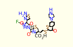 Nc1nc(C(=NOCF)C(=O)NC2C(=O)N3C(C(=O)O)=C(C=CSc4cc(=O)c5ccc(N6CCNCC6)cc5s4)CS[C@@H]23)cs1